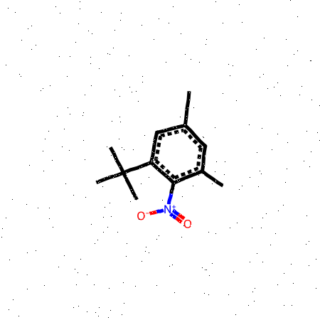 Cc1cc(C)c([N+](=O)[O-])c(C(C)(C)C)c1